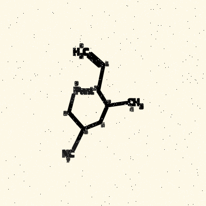 C=CCC(C)CC(C#N)CC(C)CCC